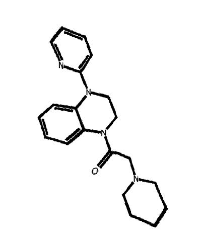 O=C(CN1CCCCC1)N1CCN(c2ccccn2)c2ccccc21